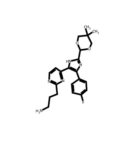 CC1(C)COC(c2nc(-c3ccc(F)cc3)c(-c3ccnc(CCCN)n3)[nH]2)OC1